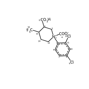 O=C(O)C1C[N+](C(=O)[O-])(c2ccc(Cl)cc2Cl)CCC1C(F)(F)F